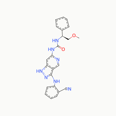 COC[C@@H](NC(=O)Nc1cc2[nH]nc(Nc3ccccc3C#N)c2cn1)c1ccccc1